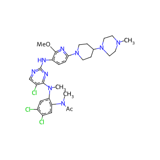 COc1nc(N2CCC(N3CCN(C)CC3)CC2)ccc1Nc1ncc(Cl)c(N(C)c2cc(Cl)c(Cl)cc2N(C)C(C)=O)n1